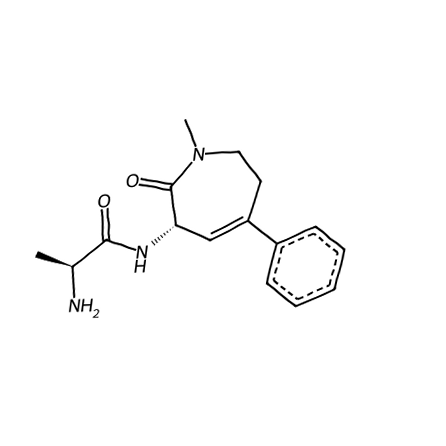 C[C@H](N)C(=O)N[C@H]1C=C(c2ccccc2)CCN(C)C1=O